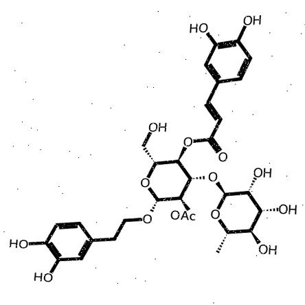 CC(=O)O[C@H]1[C@H](OCCc2ccc(O)c(O)c2)O[C@H](CO)[C@@H](OC(=O)/C=C/c2ccc(O)c(O)c2)[C@@H]1O[C@@H]1O[C@@H](C)[C@H](O)[C@@H](O)[C@H]1O